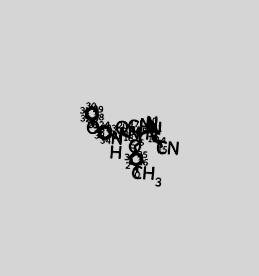 Cc1ccc(OCC(c2nnnn2CCC#N)N(C)CC(=O)Nc2ccc(Oc3ccccc3)cc2)cc1